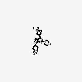 CS(=O)(=O)N1CCC(n2ncc3c(-c4cnc(N)nc4)nc(N4CCOCC4)nc32)CC1